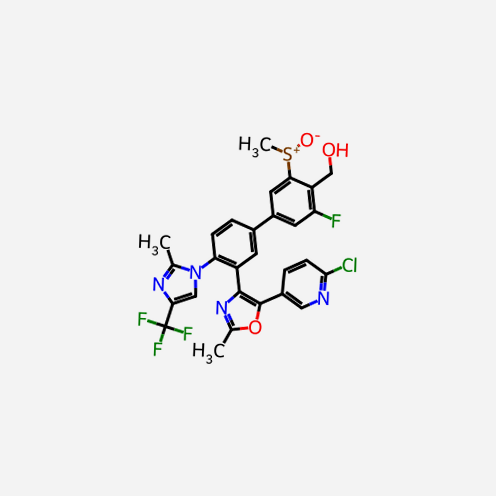 Cc1nc(-c2cc(-c3cc(F)c(CO)c([S+](C)[O-])c3)ccc2-n2cc(C(F)(F)F)nc2C)c(-c2ccc(Cl)nc2)o1